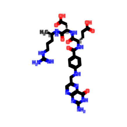 C[C@H](CCCNC(=N)N)NC(=O)[C@H](CC(=O)O)NC(=O)[C@H](CCC(=O)O)NC(=O)c1ccc(NCc2cnc3nc(N)[nH]c(=O)c3n2)cc1